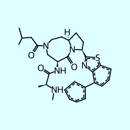 CN[C@@H](C)C(=O)N[C@H]1CN(C(=O)CC(C)C)CC[C@H]2CC[C@@H](c3nc4c(-c5ccccc5)cccc4s3)N2C1=O